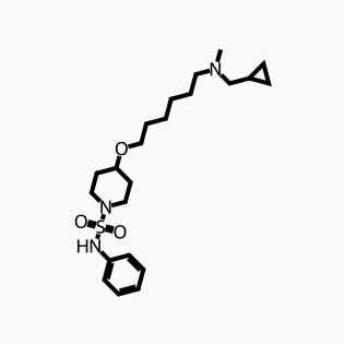 CN(CCCCCCOC1CCN(S(=O)(=O)Nc2ccccc2)CC1)CC1CC1